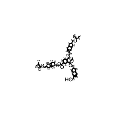 C=CC(=O)OCC1CC2C3CC(COC(=O)c4ccc(C(=O)OCC5CC6CC5C5CC(COC(=O)C(=C)C)CC65)cc4C(=O)OCC4CC5C6CC(CO)C(C6)C5C4)C(C3)C2C1